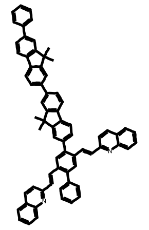 CC1(C)c2cc(-c3ccccc3)ccc2-c2ccc(-c3ccc4c(c3)C(C)(C)c3cc(-c5cc(/C=C/c6ccc7ccccc7n6)c(-c6ccccc6)cc5/C=C/c5ccc6ccccc6n5)ccc3-4)cc21